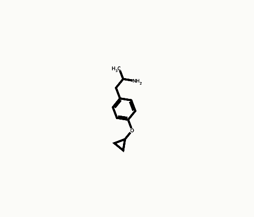 CC(N)Cc1ccc(OC2CC2)cc1